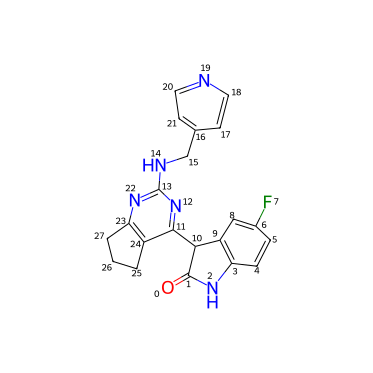 O=C1Nc2ccc(F)cc2C1c1nc(NCc2ccncc2)nc2c1CCC2